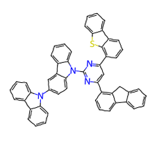 c1ccc2c(c1)Cc1c(-c3cc(-c4cccc5c4sc4ccccc45)nc(-n4c5ccccc5c5cc(-n6c7ccccc7c7ccccc76)ccc54)n3)cccc1-2